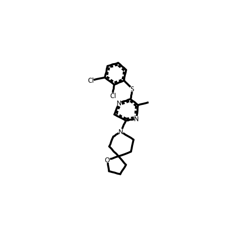 Cc1nc(N2CCC3(CCCO3)CC2)cnc1Sc1cccc(Cl)c1Cl